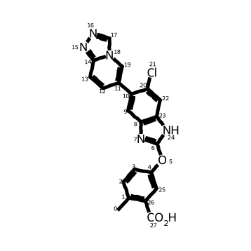 Cc1ccc(Oc2nc3cc(-c4ccc5nncn5c4)c(Cl)cc3[nH]2)cc1C(=O)O